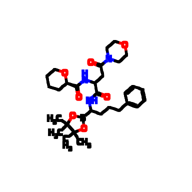 CC1(C)OB(C(CCCc2ccccc2)NC(=O)C(CC(=O)N2CCOCC2)NC(=O)[C@H]2CCCCO2)OC1(C)C